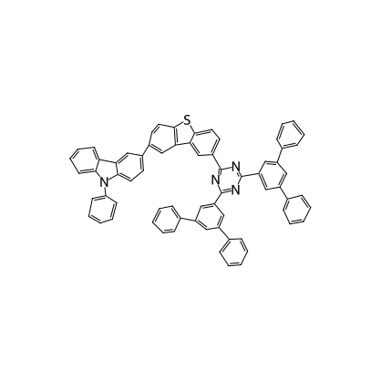 c1ccc(-c2cc(-c3ccccc3)cc(-c3nc(-c4cc(-c5ccccc5)cc(-c5ccccc5)c4)nc(-c4ccc5sc6ccc(-c7ccc8c(c7)c7ccccc7n8-c7ccccc7)cc6c5c4)n3)c2)cc1